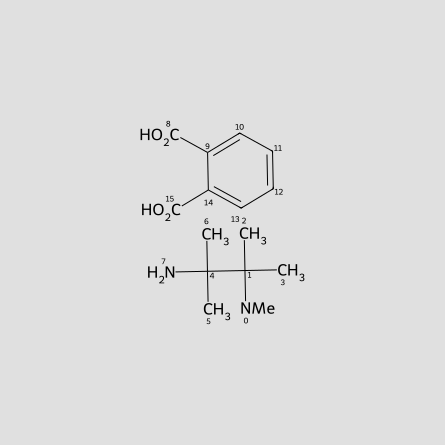 CNC(C)(C)C(C)(C)N.O=C(O)c1ccccc1C(=O)O